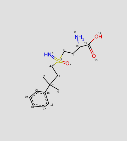 CC(C)(CCS(=N)(=O)CC[C@H](N)C(=O)O)c1ccccc1